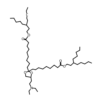 CCCCCC(CCCCC)CCOC(=O)CCCCCCCCC1(CCCCCCCCC(=O)OCCC(CCCCC)CCCCC)OCC(CCN(CC)CC)O1